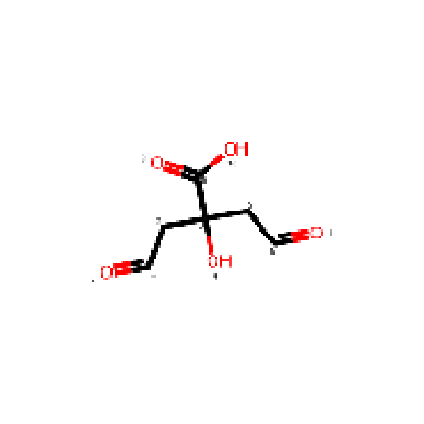 O=CCC(O)(CC=O)C(=O)O